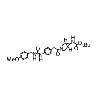 COc1ccc(CNC(=O)Nc2ccc(CC(=O)N3C[C@@H]4C(NC(=O)OC(C)(C)C)[C@@H]4C3)cc2)cc1